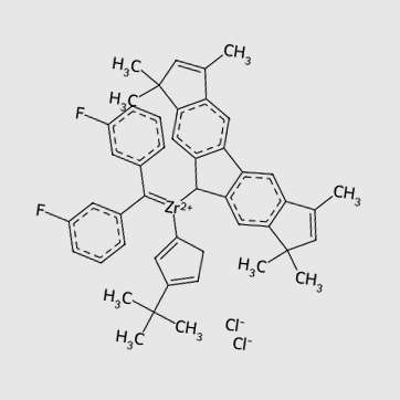 CC1=CC(C)(C)c2cc3c(cc21)-c1cc2c(cc1[CH]3[Zr+2]([C]1=CC(C(C)(C)C)=CC1)=[C](c1cccc(F)c1)c1cccc(F)c1)C(C)(C)C=C2C.[Cl-].[Cl-]